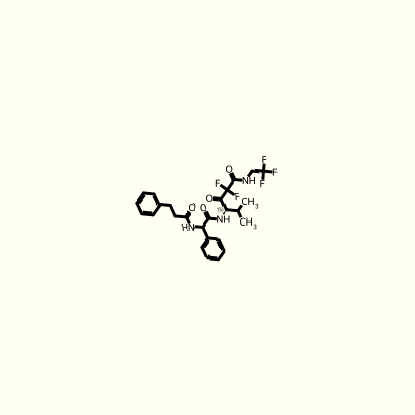 CC(C)[C@H](NC(=O)C(NC(=O)CCc1ccccc1)c1ccccc1)C(=O)C(F)(F)C(=O)NCC(F)(F)F